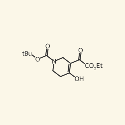 CCOC(=O)C(=O)C1=C(O)CCN(C(=O)OC(C)(C)C)C1